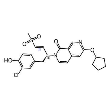 CS(=O)(=O)/C=C/[C@H](Cc1ccc(O)c(Cl)c1)n1ccc2cc(OC3CCCC3)ncc2c1=O